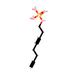 C#CCCC#CCCOP(=O)(O)O